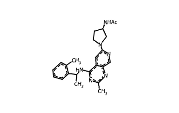 CC(=O)N[C@@H]1CCN(c2cc3c(NC(C)c4ccccc4C)nc(C)nc3cn2)C1